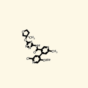 COc1cnc(Cl)cc1-c1cc(C)ncc1C(=O)Nc1nnc(O[C@]2(C)CCOC2)s1